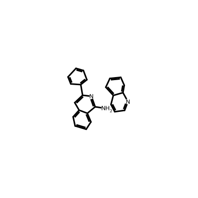 Nc1nc(-c2ccccc2)cc2ccccc12.c1ccc2ncccc2c1